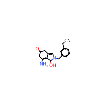 N#CCc1cccc(CN2C=C3CC(=O)CC(N)=C3C2O)c1